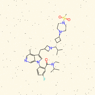 CCN(C(=O)c1cc(F)ccc1-n1cc(CC2CN(C(C(C)C)[C@H]3C[C@H](N4CCN(S(C)(=O)=O)CC4)C3)C2)c2c(C)cncc21)C(C)C